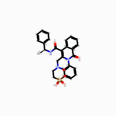 CC[C@H](NC(=O)c1c(CN2CCS(=O)(=O)CC2)n(-c2ccccc2)c(=O)c2ccccc12)c1ccccc1